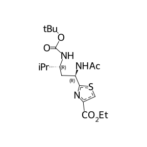 CCOC(=O)c1csc([C@@H](C[C@@H](NC(=O)OC(C)(C)C)C(C)C)NC(C)=O)n1